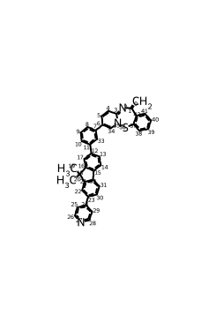 C=C1N=C2C=CC(c3cccc(-c4ccc5c(c4)C(C)(C)c4cc(-c6ccncc6)ccc4-5)c3)=CN2Sc2ccccc21